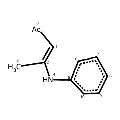 CC(=O)C=C(C)Nc1ccccc1